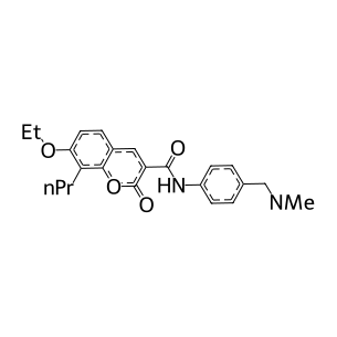 CCCc1c(OCC)ccc2cc(C(=O)Nc3ccc(CNC)cc3)c(=O)oc12